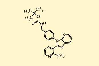 CC(C)(C)OC(=O)NCc1ccc(-n2c(-c3cccnc3N)nc3cccnc32)cc1